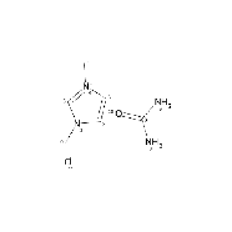 Cn1cc[n+](C)c1.NC(N)=O.[Cl-]